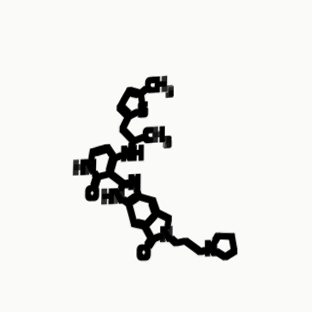 Cc1ccc(CC(C)Nc2cc[nH]c(=O)c2-c2nc3cc4c(cc3[nH]2)C(=O)N(CCCN2CCCC2)C4)s1